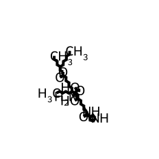 CCCCCCC(CCCC)COC(=O)CCCCCC(CCCCC)C(N)(CC(O)CCCCNC(=O)c1cc[nH]c1)C(=O)O